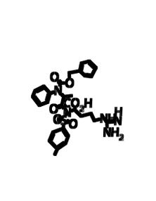 Cc1ccc(S(=O)(=O)N(C(=O)C(C)N(C(=O)OCc2ccccc2)c2ccccc2)C(CCCNC(=N)N)C(=O)O)cc1